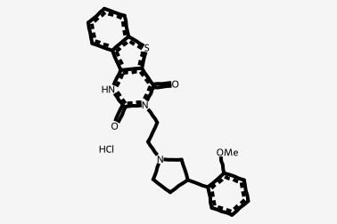 COc1ccccc1C1CCN(CCn2c(=O)[nH]c3c(sc4ccccc43)c2=O)C1.Cl